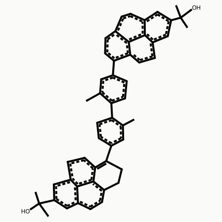 Cc1cc(C2=c3ccc4cc(C(C)(C)O)cc5ccc(c3c54)CC2)ccc1-c1ccc(-c2ccc3ccc4cc(C(C)(C)O)cc5ccc2c3c45)cc1C